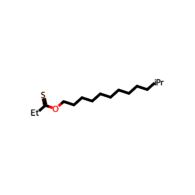 CCC(=S)OCCCCCCCCCCC(C)C